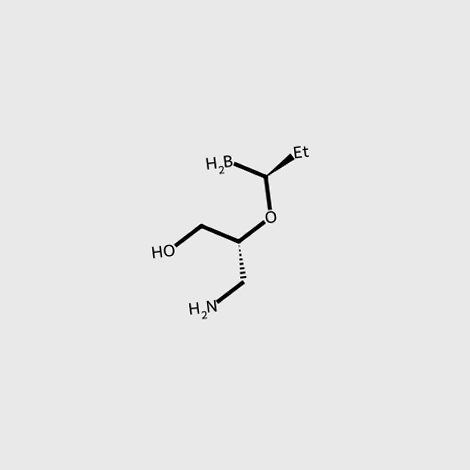 B[C@@H](CC)O[C@H](CN)CO